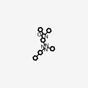 c1ccc(-c2ccc(-c3nc(-c4ccccc4)nc(-c4ccc5c(c4)nc(-c4ccccc4)c4c6ccccc6oc54)n3)cc2)cc1